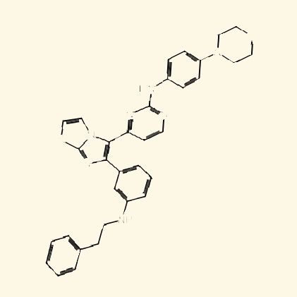 c1ccc(CCNc2cccc(-c3nc4sccn4c3-c3ccnc(Nc4ccc(N5CCOCC5)cc4)n3)c2)cc1